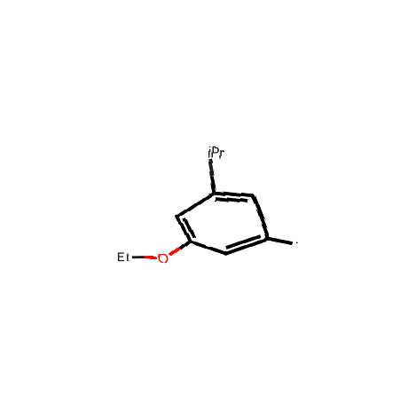 [CH2]c1cc(OCC)cc(C(C)C)c1